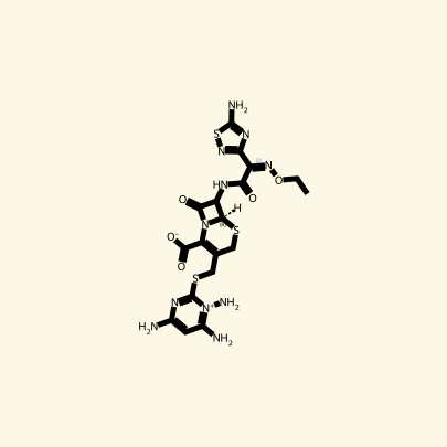 CCO/N=C(\C(=O)NC1C(=O)N2C(C(=O)[O-])=C(CSc3nc(N)cc(N)[n+]3N)CS[C@H]12)c1nsc(N)n1